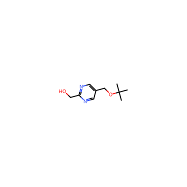 CC(C)(C)OCc1cnc(CO)nc1